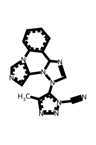 Cc1nnn(C#N)c1N1C=NC2c3ccccc3-n3cncc3N21